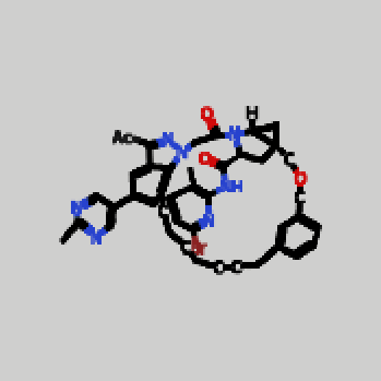 CC(=O)c1nn2c3c(cc(-c4cnc(C)nc4)cc13)CCCCCCCc1cccc(c1)COC[C@@]13C[C@@H](C(=O)Nc4nc(Br)ccc4C)N(C(=O)C2)[C@@H]1C3